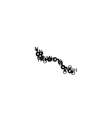 CC1(C)[C@H](NC(=O)c2ccc(N3CCC(CN4CCN(c5ccc6c(c5)CN([C@H]5CCC(=O)NC5=O)C6=O)CC4)CC3)nc2)C2(C)c3ccnc4c(C#N)ccc(c34)O[C@@H]12